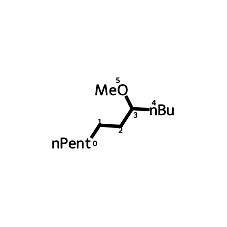 CCCCCCCC(CCCC)OC